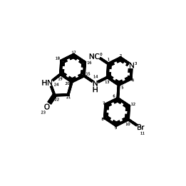 N#Cc1cncc(-c2cccc(Br)c2)c1Nc1cccc2c1CC(=O)N2